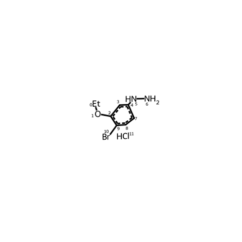 CCOc1cc(NN)ccc1Br.Cl